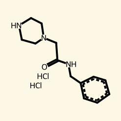 Cl.Cl.O=C(CN1CCNCC1)NCc1ccccc1